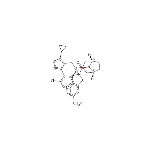 O=C(O)c1ccc2c(c1)CN(C(=O)N1[C@@H]3CC[C@H]1CC(OCc1c(-c4c(Cl)cc(F)cc4Cl)noc1C1CC1)C3)C2